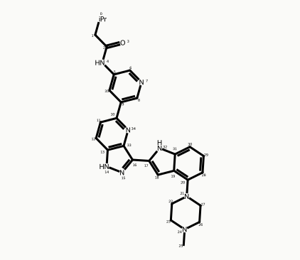 CC(C)CC(=O)Nc1cncc(-c2ccc3[nH]nc(-c4cc5c(N6CCN(C)CC6)cccc5[nH]4)c3n2)c1